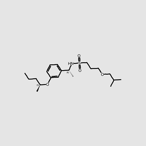 CCC[C@H](C)Oc1cccc([C@@H](C)NS(=O)(=O)CCCOCC(C)C)c1